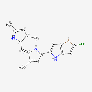 COC1=CC(c2cc3sc(Cl)cc3[nH]2)=N/C1=C\c1[nH]c(C)cc1C